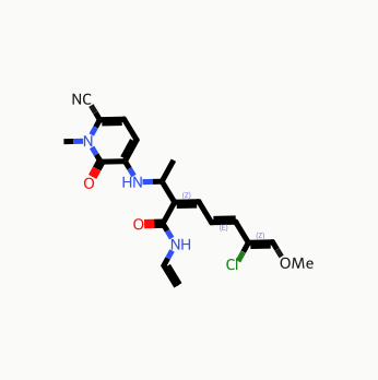 C=CNC(=O)\C(=C/C=C/C(Cl)=C/OC)C(C)Nc1ccc(C#N)n(C)c1=O